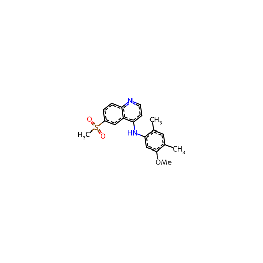 COc1cc(Nc2ccnc3ccc(S(C)(=O)=O)cc23)c(C)cc1C